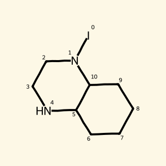 IN1CCNC2CCCCC21